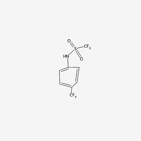 O=S(=O)(Nc1ccc(C(F)(F)F)cc1)C(F)(F)F